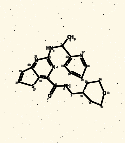 CC(Nc1nc(C(=O)NCC2CCOCC2)c2sccc2n1)c1ccccn1